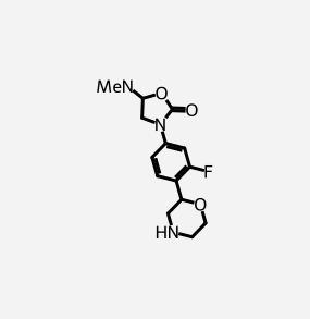 CNC1CN(c2ccc(C3CNCCO3)c(F)c2)C(=O)O1